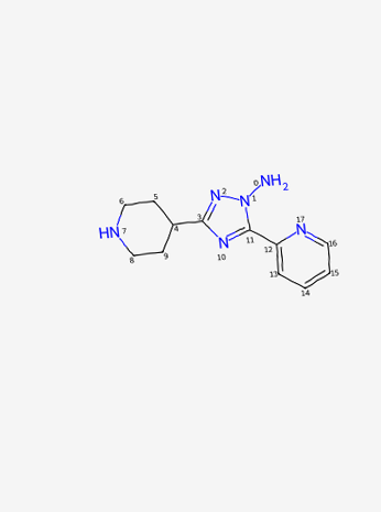 Nn1nc(C2CCNCC2)nc1-c1ccccn1